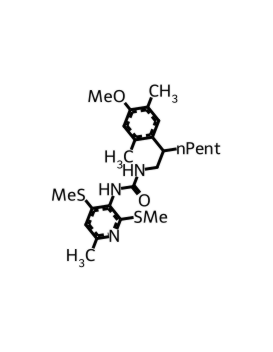 CCCCCC(CNC(=O)Nc1c(SC)cc(C)nc1SC)c1cc(C)c(OC)cc1C